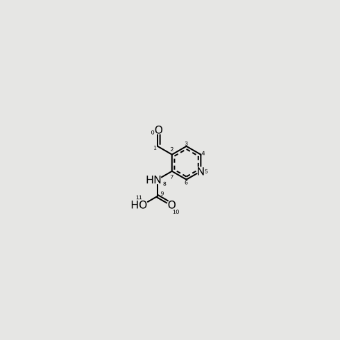 O=Cc1ccncc1NC(=O)O